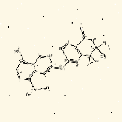 CC[C@@H](N)c1ccc(OC)c2cnc(Nc3ccc4c(n3)C3(CC3)C(C)(C)OC4=O)cc12